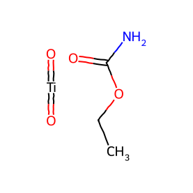 CCOC(N)=O.[O]=[Ti]=[O]